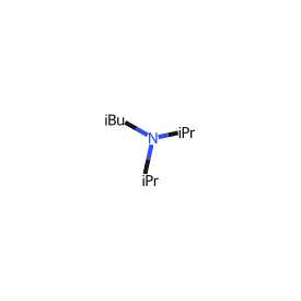 [CH2]C(CC)N(C(C)C)C(C)C